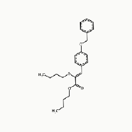 CCCCOC(=O)C(=Cc1ccc(OCc2ccccc2)cc1)OCCCC